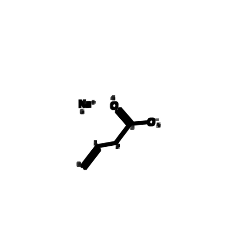 C=CCC(=O)[O-].[Na+]